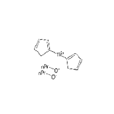 C1=CC[C]([Ti+2][C]2=CC=CC2)=C1.CCC[O-].CCC[O-]